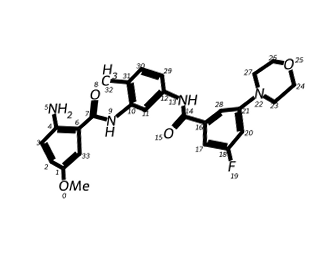 COc1ccc(N)c(C(=O)Nc2cc(NC(=O)c3cc(F)cc(N4CCOCC4)c3)ccc2C)c1